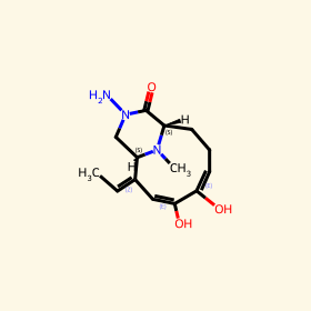 C/C=C1/C=C(O)\C(O)=C/CC[C@H]2C(=O)N(N)C[C@H]1N2C